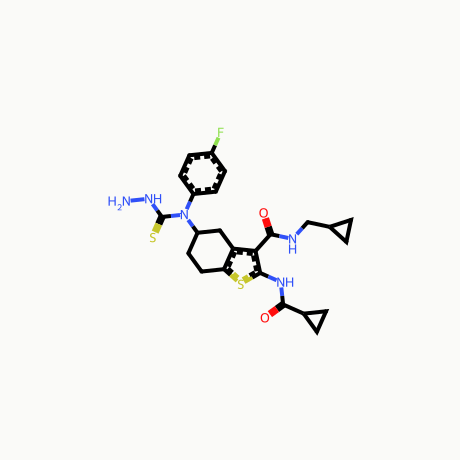 NNC(=S)N(c1ccc(F)cc1)C1CCc2sc(NC(=O)C3CC3)c(C(=O)NCC3CC3)c2C1